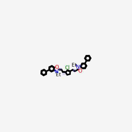 CCN1/C(=C\C=C2\CCC(/C=C/c3oc4ccc(-c5ccccc5)cc4[n+]3CC)=C2Cl)Oc2ccc(-c3ccccc3)cc21